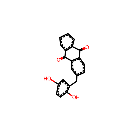 O=C1c2ccccc2C(=O)c2cc(Cc3cc(O)ccc3O)ccc21